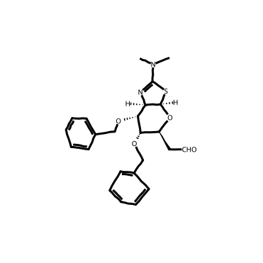 CN(C)C1=N[C@@H]2[C@@H](OCc3ccccc3)[C@@H](OCc3ccccc3)[C@H](CC=O)O[C@@H]2S1